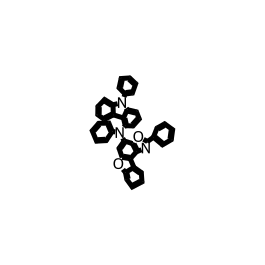 c1ccc(-c2nc3c(o2)c(N(c2ccccc2)c2cccc4c2c2ccccc2n4-c2ccccc2)cc2oc4ccccc4c23)cc1